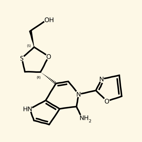 NC1c2cc[nH]c2C([C@@H]2CS[C@@H](CO)O2)=CN1c1ncco1